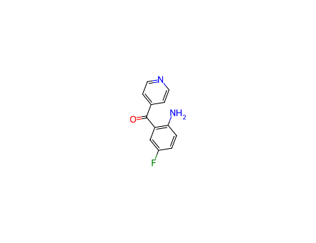 Nc1ccc(F)cc1C(=O)c1ccncc1